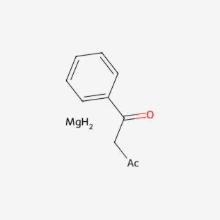 CC(=O)CC(=O)c1ccccc1.[MgH2]